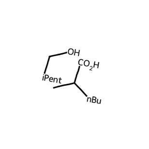 CCCC(C)CO.CCCCC(C)C(=O)O